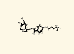 O=C(Nc1c[nH]c2cc(F)c(F)cc12)c1ccc(OCCCC(F)(F)F)c(F)c1